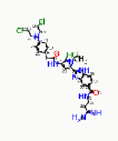 Cl.Cn1cc(NC(=O)Cc2ccc(N(CCCl)CCCl)cc2)cc1-c1nc2cc(C(=O)NCCC(=N)N)ccc2[nH]1